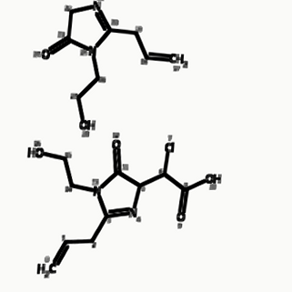 C=CCC1=NC(C(Cl)C(=O)O)C(=O)N1CCO.C=CCC1=NCC(=O)N1CCO